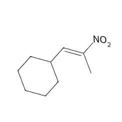 C/C(=C\C1CCCCC1)[N+](=O)[O-]